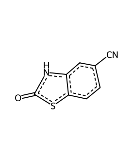 N#Cc1ccc2sc(=O)[nH]c2c1